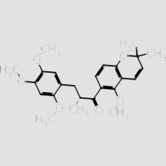 COc1cc(OC)c(OC)cc1C[C@H](C)C(=O)c1ccc2c(c1OC)C=CC(C)(C)O2